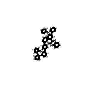 c1ccc(-n2c3ccccc3c3cc(-c4nc5ccccc5nc4-n4c5ccccc5c5cc6c(cc54)c4cccc5c4n6-c4ccccc4-c4ccccc4-5)ccc32)cc1